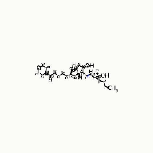 CCCC[C@](C)(O)C/C=C/[C@@H]1[C@H]2CC(CCCCC(=O)N3CCOCC3)=C[C@H]2C[C@H]1O